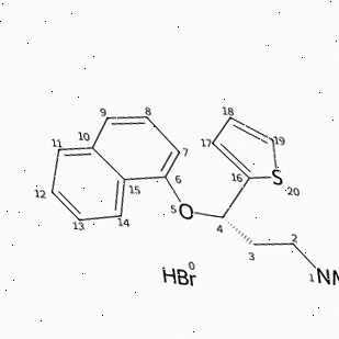 Br.CNCC[C@H](Oc1cccc2ccccc12)c1cccs1